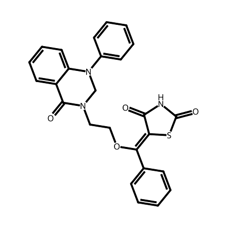 O=C1NC(=O)C(=C(OCCN2CN(c3ccccc3)c3ccccc3C2=O)c2ccccc2)S1